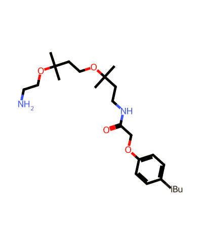 CCC(C)c1ccc(OCC(=O)NCCC(C)(C)OCCC(C)(C)OCCN)cc1